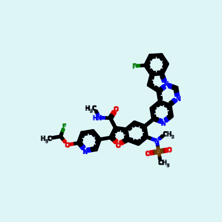 CNC(=O)c1c(-c2ccc(OC(C)F)nc2)oc2cc(N(C)S(C)(=O)=O)c(-c3cc4c(cn3)ncn3c5cccc(F)c5cc43)cc12